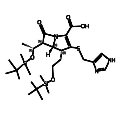 C[C@@H](O[Si](C)(C)C(C)(C)C)[C@H]1C(=O)N2C(C(=O)O)=C(SCc3c[nH]cn3)[C@H](CCO[Si](C)(C)C(C)(C)C)[C@H]12